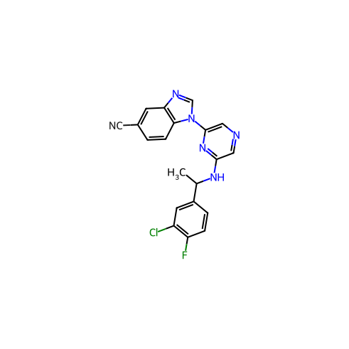 CC(Nc1cncc(-n2cnc3cc(C#N)ccc32)n1)c1ccc(F)c(Cl)c1